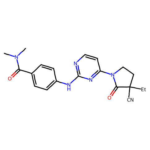 CCC1(C#N)CCN(c2ccnc(Nc3ccc(C(=O)N(C)C)cc3)n2)C1=O